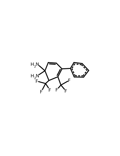 NC1(N)C=CC(c2ccccc2)=C(C(F)(F)F)C1C(F)(F)F